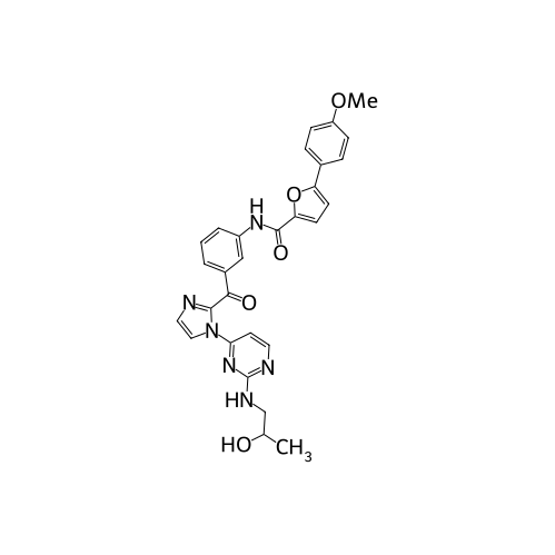 COc1ccc(-c2ccc(C(=O)Nc3cccc(C(=O)c4nccn4-c4ccnc(NCC(C)O)n4)c3)o2)cc1